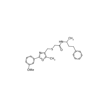 COc1cccc(-c2nc(CSCC(=O)NC(C)CCc3ccccc3)c(C)o2)c1